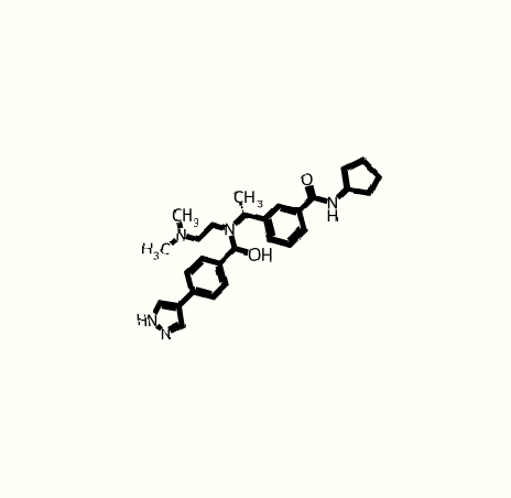 C[C@H](c1cccc(C(=O)NC2CCCC2)c1)N(CCN(C)C)C(O)c1ccc(-c2cn[nH]c2)cc1